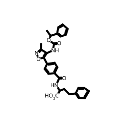 Cc1noc(-c2ccc(C(=O)NC(CCc3ccccc3)C(=O)O)cc2)c1NC(=O)OC(C)c1ccccc1